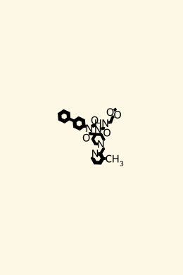 Cc1cccnc1CN1CCC2(CC1)C(=O)N(c1ccc(-c3ccccc3)cc1)C(=O)N2C(=O)NCC1OCO1